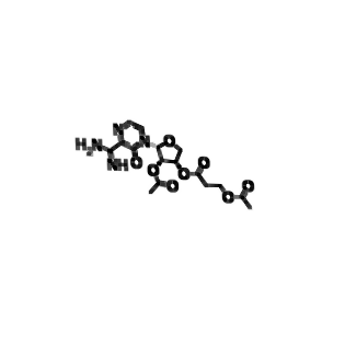 CC(=O)OCCC(=O)O[C@@H]1CO[C@@H](n2ccnc(C(=N)N)c2=O)[C@@H]1OC(C)=O